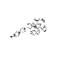 NC(=O)c1nc(-c2ccccn2)c(N2CCC23CCOCC3)nc1Nc1ccc(N2CCC(N3CCN(C4CC4)CC3)CC2)cc1